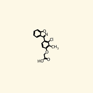 Cc1c(OCC(=O)O)ccc(-c2noc3ccccc23)c1Cl